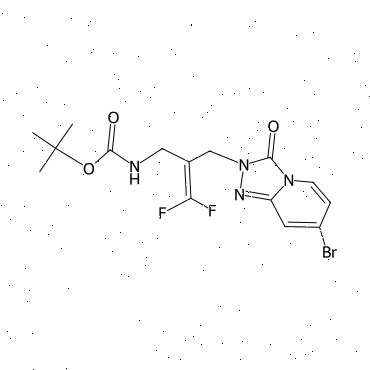 CC(C)(C)OC(=O)NCC(Cn1nc2cc(Br)ccn2c1=O)=C(F)F